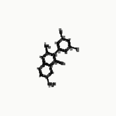 Nc1nc2ccc(C(=O)O)cc2c(=O)n1-c1cc(Cl)cc(Cl)c1